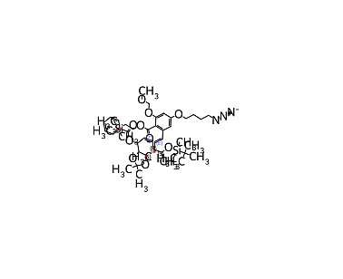 COCOc1cc(OCCCCN=[N+]=[N-])cc(/C=C/C[C@@H]2OC(C)(C)OC2C(/C=C\[C@@H](C)[C@H](C)O[Si](C)(C)C(C)(C)C)OC(=O)c2ccccc2)c1C(=O)OCC[Si](C)(C)C